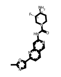 Cc1ncc(-c2ccc3cnc(NC(=O)N4CC[C@H](N)[C@@H](F)C4)cc3n2)o1